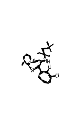 Cc1cccn2c(NC(C)(C)CC(C)(C)C)c(-c3cccc(Cl)c3Cl)nc12